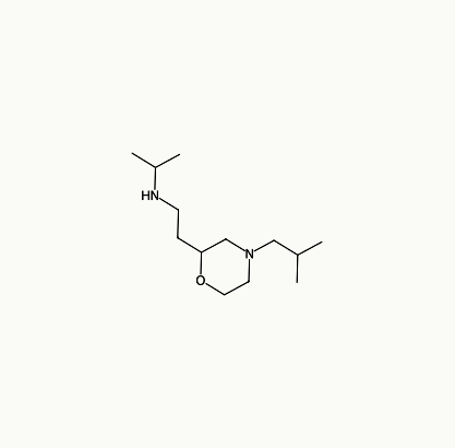 CC(C)CN1CCOC(CCNC(C)C)C1